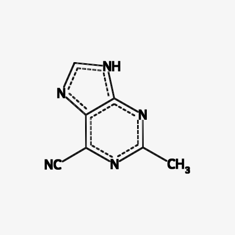 Cc1nc(C#N)c2nc[nH]c2n1